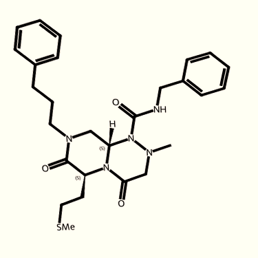 CSCC[C@H]1C(=O)N(CCCc2ccccc2)C[C@H]2N1C(=O)CN(C)N2C(=O)NCc1ccccc1